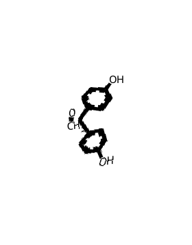 C=O.Oc1ccc(Cc2ccc(O)cc2)cc1